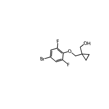 OCC1(COc2c(F)cc(Br)cc2F)CC1